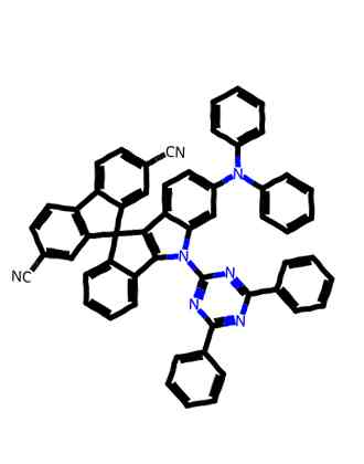 N#Cc1ccc2c(c1)C1(c3cc(C#N)ccc3-2)c2ccccc2-c2c1c1ccc(N(c3ccccc3)c3ccccc3)cc1n2-c1nc(-c2ccccc2)nc(-c2ccccc2)n1